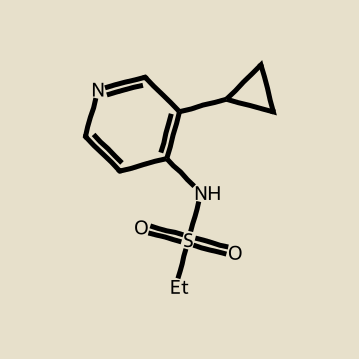 CCS(=O)(=O)Nc1ccncc1C1CC1